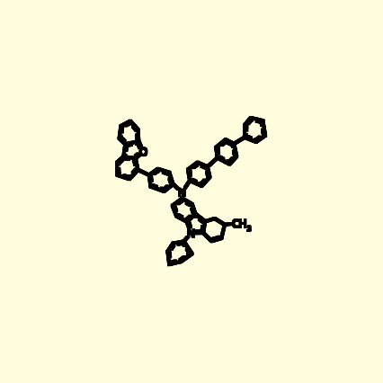 CC1C=Cc2c(c3cc(N(c4ccc(-c5ccc(-c6ccccc6)cc5)cc4)c4ccc(-c5cccc6c5oc5ccccc56)cc4)ccc3n2-c2ccccc2)C1